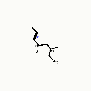 C/C=C/[C@@H](C)C[C@@H](C)CC(C)=O